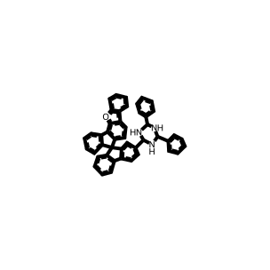 c1ccc(C2NC(c3ccccc3)NC(c3ccc4c(c3)C3(c5ccccc5-4)c4ccccc4-c4c3ccc3c4oc4ccccc43)N2)cc1